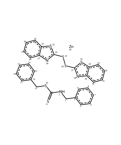 S=C(NCc1ccccc1)SCc1ccccc1.[Zn].c1ccc2sc(SSc3nc4ccccc4s3)nc2c1